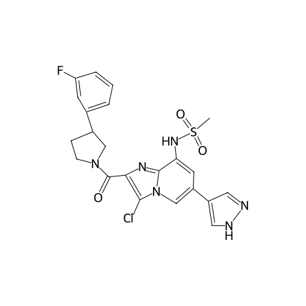 CS(=O)(=O)Nc1cc(-c2cn[nH]c2)cn2c(Cl)c(C(=O)N3CCC(c4cccc(F)c4)C3)nc12